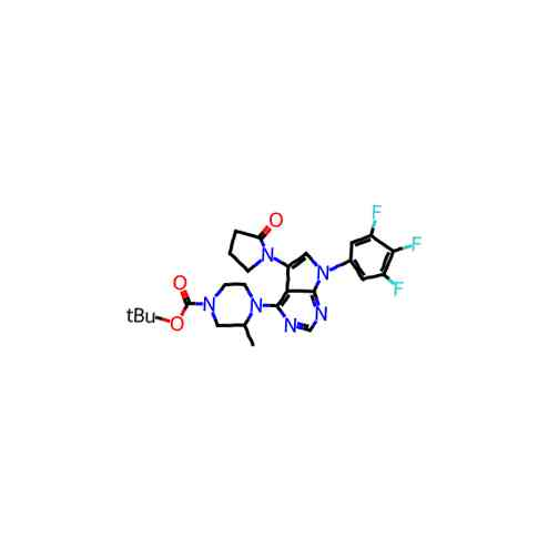 CC1CN(C(=O)OC(C)(C)C)CCN1c1ncnc2c1c(N1CCCC1=O)cn2-c1cc(F)c(F)c(F)c1